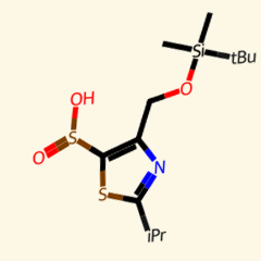 CC(C)c1nc(CO[Si](C)(C)C(C)(C)C)c(S(=O)O)s1